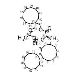 C1CCCCCCCCC1.C1CCCCCCCCC1.C=C(C)C(=O)OCC1(COC(C)OCC)CCCCCCCCC1